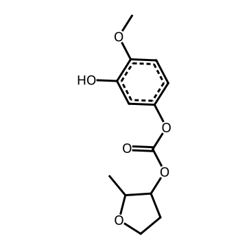 COc1ccc(OC(=O)OC2CCOC2C)cc1O